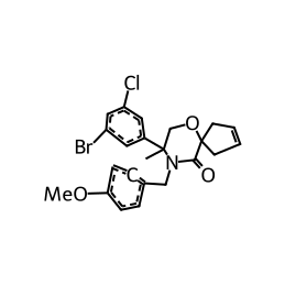 COc1ccc(CN2C(=O)C3(CC=CC3)OCC2(C)c2cc(Cl)cc(Br)c2)cc1